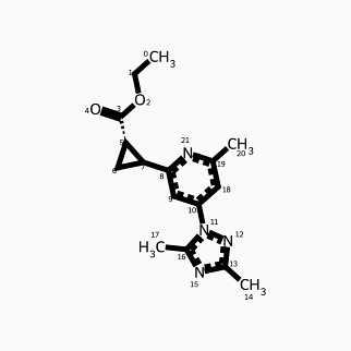 CCOC(=O)[C@H]1CC1c1cc(-n2nc(C)nc2C)cc(C)n1